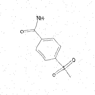 CS(=O)(=O)c1ccc(C([NH])=O)cc1